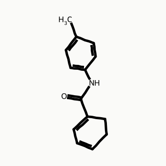 Cc1ccc(NC(=O)C2=CC=CCC2)cc1